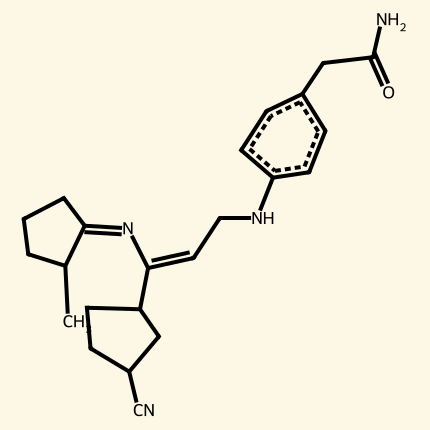 CC1CCC/C1=N/C(=C\CNc1ccc(CC(N)=O)cc1)C1CCC(C#N)C1